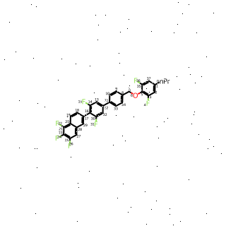 CCCc1cc(F)c(OCc2ccc(-c3cc(F)c(-c4ccc5c(F)c(F)c(F)cc5c4)c(F)c3)cc2)c(F)c1